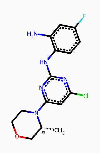 C[C@@H]1COCCN1c1cc(Cl)nc(Nc2ccc(F)cc2N)n1